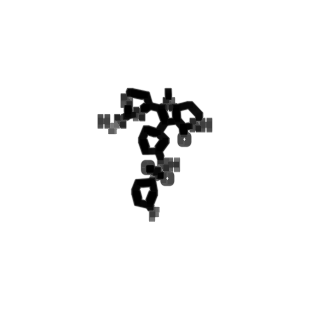 Cn1c2c(c(-c3cccc(NS(=O)(=O)c4cccc(F)c4)c3)c1-c1ccnc(N)n1)C(=O)NCC2